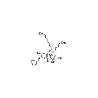 CCCCCCCCCCCCCCCCCC(=O)N(CCCCCCCCCCCCCC)[C@@H]1O[C@H](CO)[C@@H](O)[C@H](O)[C@H]1NC(=O)CN(C)C(=O)OCc1ccccc1